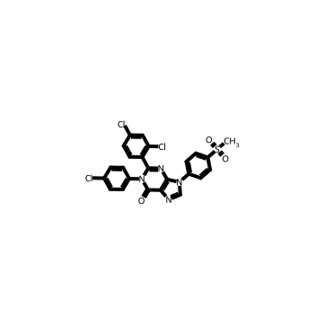 CS(=O)(=O)c1ccc(-n2cnc3c(=O)n(-c4ccc(Cl)cc4)c(-c4ccc(Cl)cc4Cl)nc32)cc1